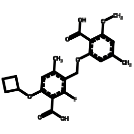 COc1cc(C)cc(OCc2c(C)cc(OC3CCC3)c(C(=O)O)c2F)c1C(=O)O